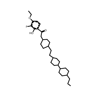 CCCC1CCC(C2CCC(CCC3CCC(CC(=O)c4ccc(OCC)c(F)c4O)CC3)CC2)CC1